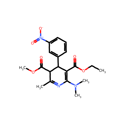 CCOC(=O)C1=C(N(C)C)N=C(C)C(C(=O)OC)C1c1cccc([N+](=O)[O-])c1